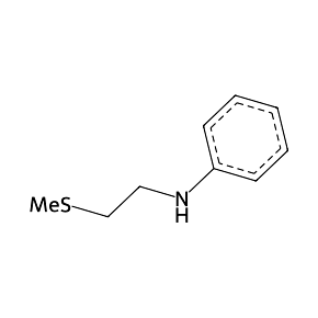 CSCCNc1ccccc1